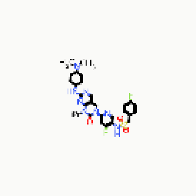 CC(C)N1C(=O)N(c2cc(F)c(NS(=O)(=O)Cc3ccc(F)cc3)cn2)Cc2cnc(NC3CCC(N(C)C)CC3)nc21